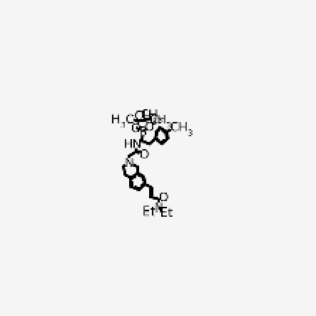 CCN(CC)C(=O)C=Cc1ccc2c(c1)CN(CC(=O)NC(Cc1ccc(C)cc1)B1OC(C)(C)C(C)(C)O1)CC2